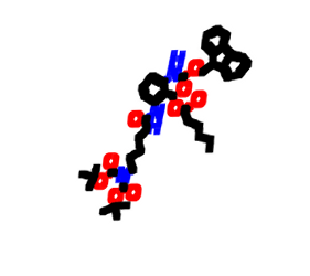 CCCCCC(=O)OCc1c(NC(=O)CCCCCN(C(=O)OC(C)(C)C)C(=O)OC(C)(C)C)cccc1NC(=O)OCC1c2ccccc2-c2ccccc21